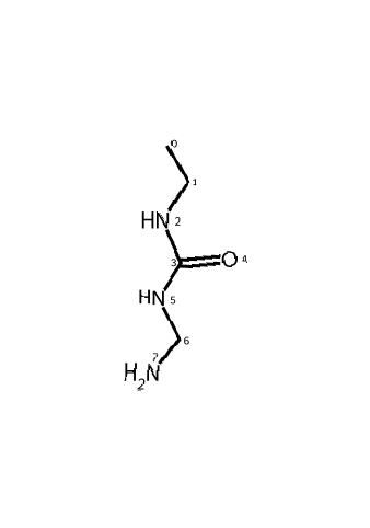 CCNC(=O)NCN